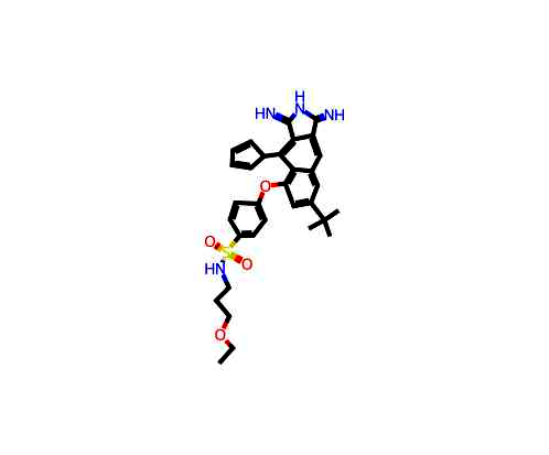 CCOCCCNS(=O)(=O)c1ccc(Oc2cc(C(C)(C)C)cc3cc4c(c(C5C=CC=C5)c23)C(=N)NC4=N)cc1